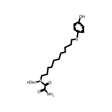 CCCCCCCCCCN(CCCCCCCCCCCSc1ccc(O)cc1)C(=O)C(N)=O